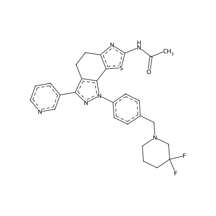 CC(=O)Nc1nc2c(s1)-c1c(c(-c3cccnc3)nn1-c1ccc(CN3CCCC(F)(F)C3)cc1)CC2